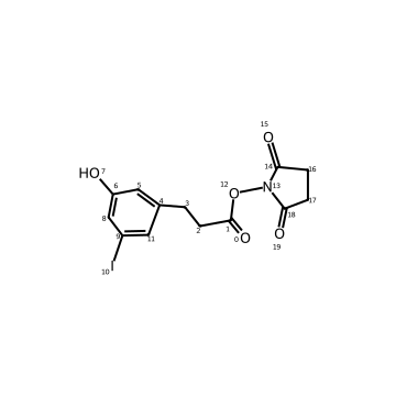 O=C(CCc1cc(O)cc(I)c1)ON1C(=O)CCC1=O